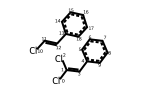 ClC(Cl)=Cc1ccccc1.ClC=Cc1ccccc1